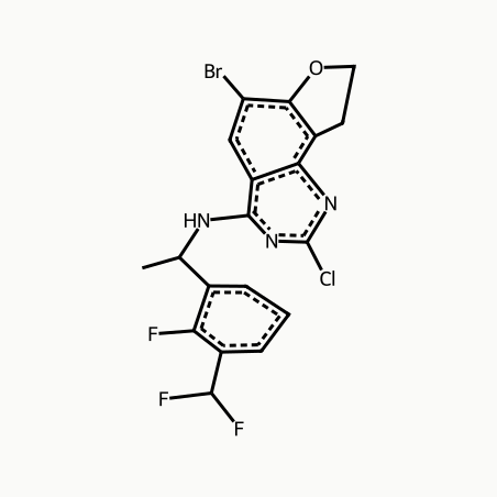 CC(Nc1nc(Cl)nc2c3c(c(Br)cc12)OCC3)c1cccc(C(F)F)c1F